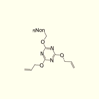 C=CCOc1nc(OCC=C)nc(OCCCCCCCCCC)n1